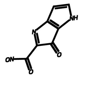 O=NC(=O)C1=Nc2cc[nH]c2C1=O